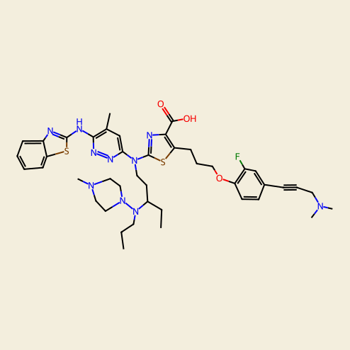 CCCN(C(CC)CCN(c1cc(C)c(Nc2nc3ccccc3s2)nn1)c1nc(C(=O)O)c(CCCOc2ccc(C#CCN(C)C)cc2F)s1)N1CCN(C)CC1